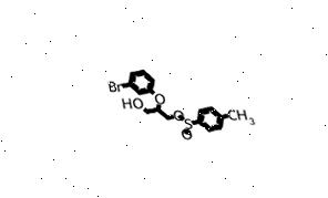 Cc1ccc(S(=O)OCC(CO)Oc2cccc(Br)c2)cc1